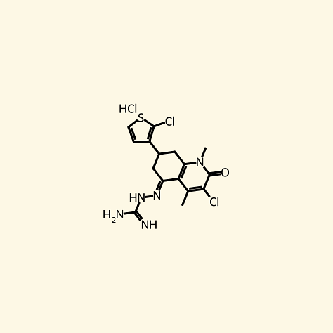 Cc1c2c(n(C)c(=O)c1Cl)CC(c1ccsc1Cl)CC2=NNC(=N)N.Cl